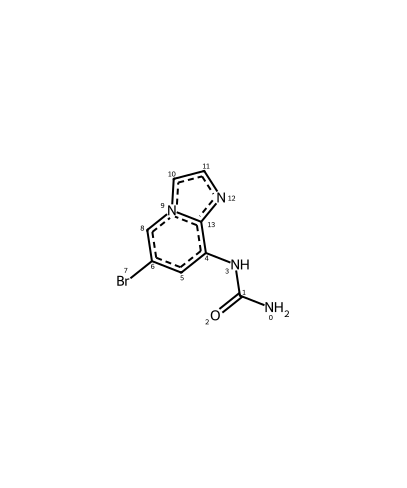 NC(=O)Nc1cc(Br)cn2ccnc12